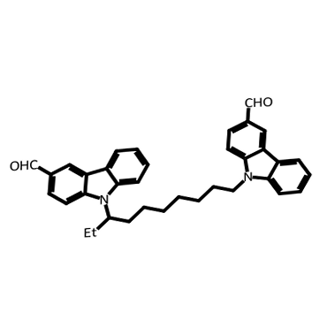 CCC(CCCCCCCn1c2ccccc2c2cc(C=O)ccc21)n1c2ccccc2c2cc(C=O)ccc21